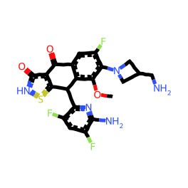 COc1c2c(cc(F)c1N1CC(CN)C1)C(=O)c1c(s[nH]c1=O)C2c1nc(N)c(F)cc1F